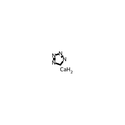 C1N=NN=N1.[CaH2]